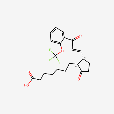 O=C(O)CCCCCC[C@@H]1C(=O)CC[C@H]1C=CC(=O)c1ccccc1OC(F)(F)F